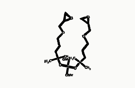 CO[Si](OC)(O[Si](C)(C)CCCOCC1CO1)O[Si](C)(C)CCCOCC1CO1